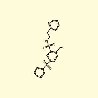 CCc1ccc(S(=O)(=O)c2ccccc2)cc1S(=O)(=O)NCCc1ccccn1